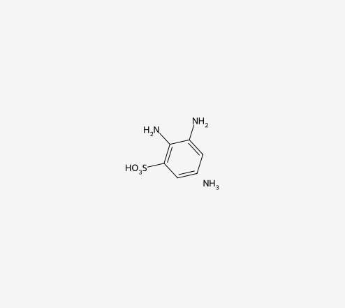 N.Nc1cccc(S(=O)(=O)O)c1N